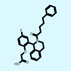 O=C(O)COc1ccc(F)cc1C1c2ccccc2CCN1C(=O)CCCCc1ccccc1